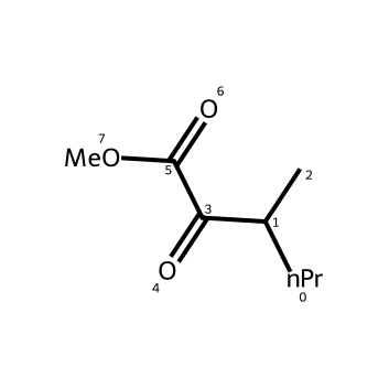 CCCC(C)C(=O)C(=O)OC